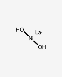 [La].[OH][Ni][OH]